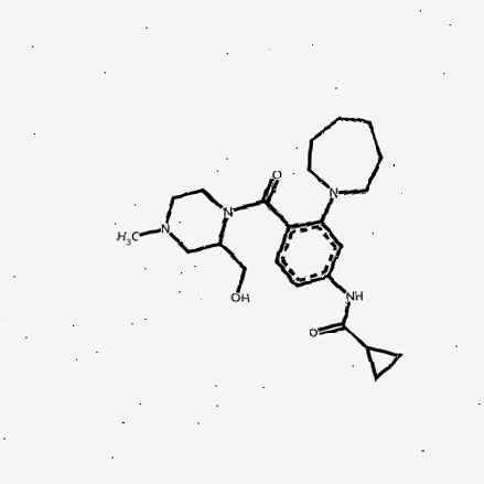 CN1CCN(C(=O)c2ccc(NC(=O)C3CC3)cc2N2CCCCCC2)C(CO)C1